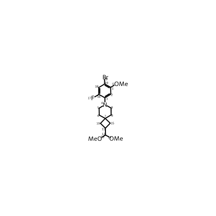 COc1cc(N2CCC3(CC2)CC(C(OC)OC)C3)c(F)cc1Br